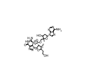 C[C@]1(COP(=O)(S)[C@@H]2[C@@H](F)[C@@H](CCO)O[C@H]2n2nnc3c(=O)[nH]c(N)nc32)O[C@@H](n2cnc3c(N)ncnc32)C[C@@H]1O